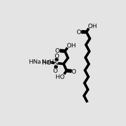 CCCCCCCCCCCC(=O)O.O=C(O)CC(C(=O)O)S(=O)(=O)O.[NaH].[NaH]